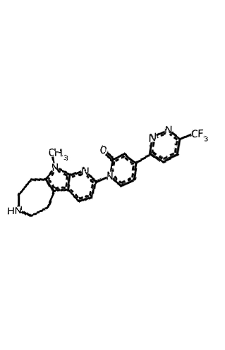 Cn1c2c(c3ccc(-n4ccc(-c5ccc(C(F)(F)F)nn5)cc4=O)nc31)CCNCC2